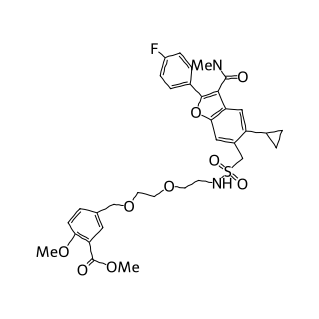 CNC(=O)c1c(-c2ccc(F)cc2)oc2cc(CS(=O)(=O)NCCOCCOCc3ccc(OC)c(C(=O)OC)c3)c(C3CC3)cc12